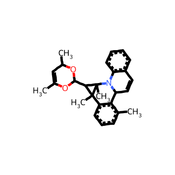 CC1=CC(C)OC(C2C3(C)c4cccc(C)c4C4C=Cc5ccccc5N4C23C)O1